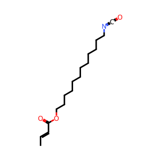 CC=CC(=O)OCCCCCCCCCCCCN=C=O